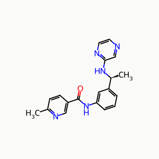 Cc1ccc(C(=O)Nc2cccc([C@H](C)Nc3cnccn3)c2)cn1